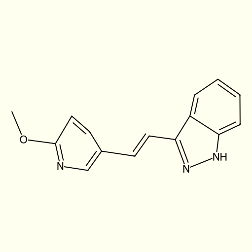 COc1ccc(/C=C/c2n[nH]c3ccccc23)cn1